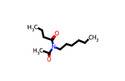 CCCCCCN(C(C)=O)C(=O)CCC